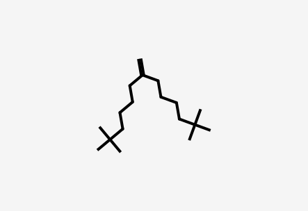 C=C(CCCCC(C)(C)C)CCCCC(C)(C)C